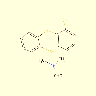 CN(C)C=O.Sc1ccccc1Sc1ccccc1S